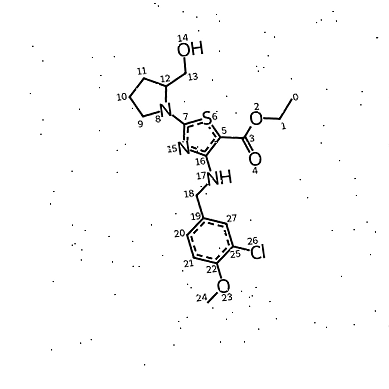 CCOC(=O)c1sc(N2CCCC2CO)nc1NCc1ccc(OC)c(Cl)c1